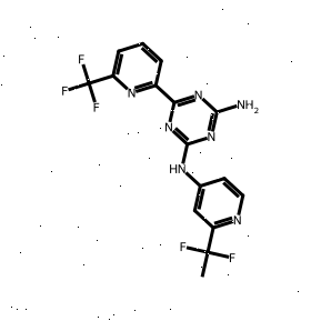 CC(F)(F)c1cc(Nc2nc(N)nc(-c3cccc(C(F)(F)F)n3)n2)ccn1